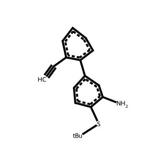 C#Cc1ccccc1-c1ccc(SC(C)(C)C)c(N)c1